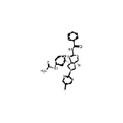 CC(=O)Nc1ccnc([C@@]23CN(c4ncc(F)cn4)C[C@@H]2CSC(NC(=O)c2ccccc2)=N3)c1